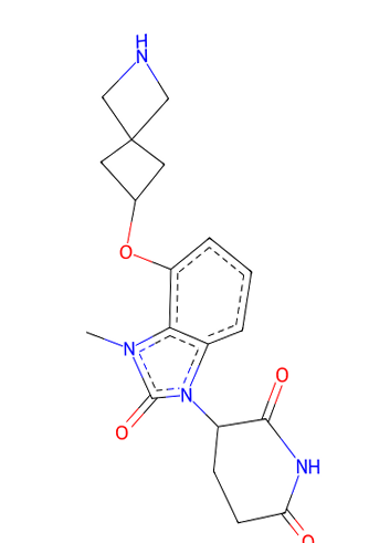 Cn1c(=O)n(C2CCC(=O)NC2=O)c2cccc(OC3CC4(CNC4)C3)c21